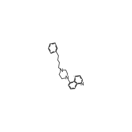 [c]1ccnc2cccc(N3CCN(CCCCc4ccccc4)CC3)c12